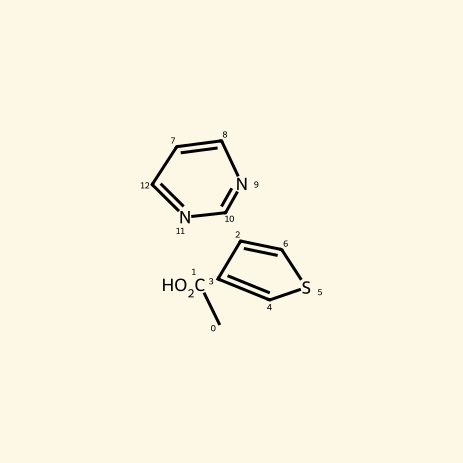 CC(=O)O.c1ccsc1.c1cncnc1